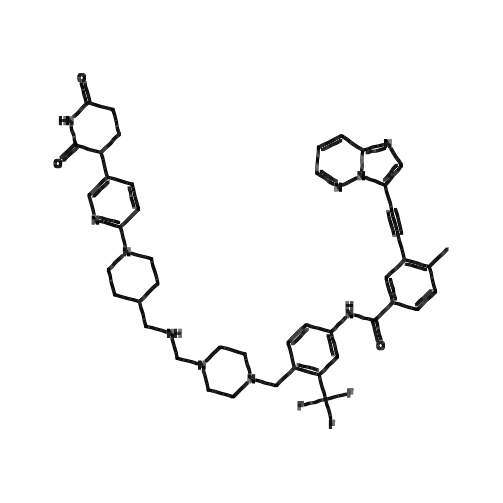 Cc1ccc(C(=O)Nc2ccc(CN3CCN(CNCC4CCN(c5ccc(C6CCC(=O)NC6=O)cn5)CC4)CC3)c(C(F)(F)F)c2)cc1C#Cc1cnc2cccnn12